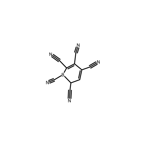 N#CB1C(C#N)=C(C#N)C(C#N)=CC1C#N